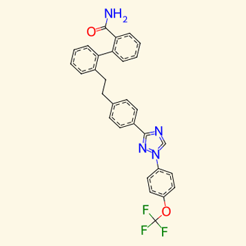 NC(=O)c1ccccc1-c1ccccc1CCc1ccc(-c2ncn(-c3ccc(OC(F)(F)F)cc3)n2)cc1